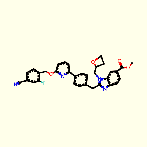 COC(=O)c1ccc2nc(Cc3ccc(-c4cccc(OCc5ccc(C#N)cc5F)n4)cc3)n(CC3CCO3)c2c1